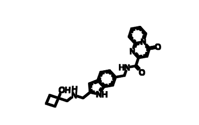 O=C(NCc1ccc2cc(CNCC3(O)CCC3)[nH]c2c1)c1cc(=O)n2ccccc2n1